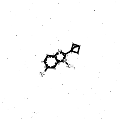 Cn1c(C23CC(C2)C3)nc2ccc(C#N)cc21